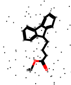 CCCCOC(=O)CCCC1c2ccccc2-c2ccccc21